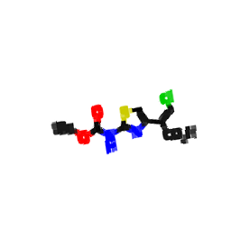 CC(C)(C)OC(=O)Nc1nc(/C(=C\Cl)C(=O)O)cs1